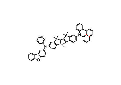 CC1(C)c2cc(N(c3ccccc3)c3ccc4oc5ccccc5c4c3)ccc2-c2oc3c(c21)C(C)(C)c1cc(N(c2ccccc2)c2ccccc2-c2ccccc2)ccc1-3